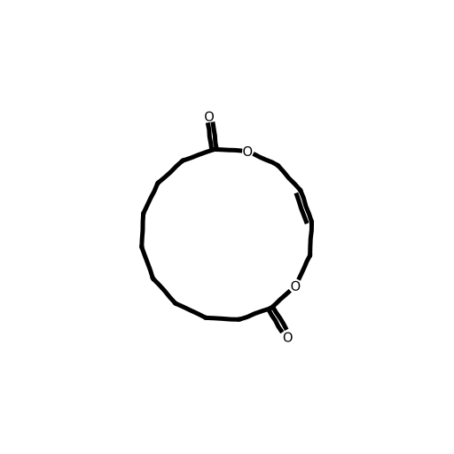 O=C1CCCCCCCCC(=O)OCC=CCO1